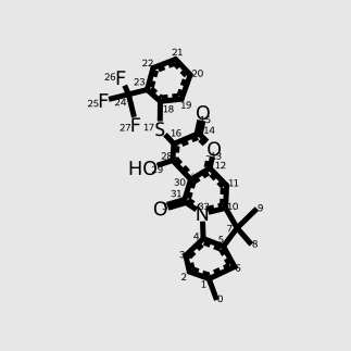 Cc1ccc2c(c1)C(C)(C)c1cc3oc(=O)c(Sc4ccccc4C(F)(F)F)c(O)c3c(=O)n1-2